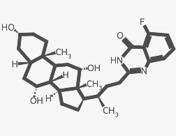 C[C@H](CCc1nc2cccc(F)c2c(=O)[nH]1)[C@H]1CC[C@H]2[C@H]3C(C[C@H](O)[C@]12C)[C@@]1(C)CC[C@@H](O)C[C@H]1C[C@H]3O